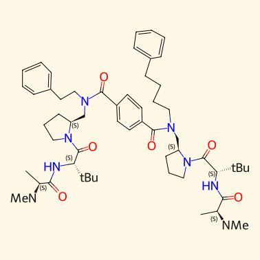 CN[C@@H](C)C(=O)N[C@H](C(=O)N1CCC[C@H]1CN(CCCCc1ccccc1)C(=O)c1ccc(C(=O)N(CCc2ccccc2)C[C@@H]2CCCN2C(=O)[C@@H](NC(=O)[C@H](C)NC)C(C)(C)C)cc1)C(C)(C)C